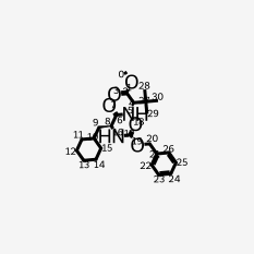 COC(=O)[C@@H](NC(=O)[C@H](CC1CCCCC1)NC(=O)OCc1ccccc1)C(C)(C)C